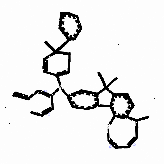 C=C/C=C(\C=C/C)N(C1=CCC(C)(c2ccccc2)C=C1)c1ccc2c(c1)C(C)(C)c1ccc3c(c1-2)S/C=C\C=C/C3C